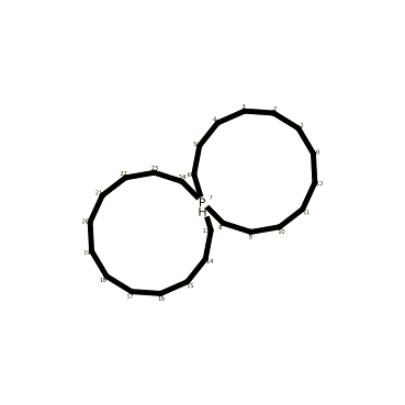 C1CCCCCC[PH]2(CCCCC1)CCCCCCCCCCCC2